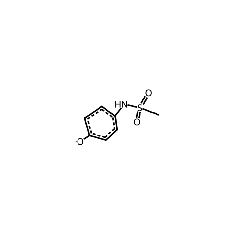 CS(=O)(=O)Nc1ccc([O])cc1